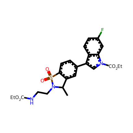 CCOC(=O)NCCN1C(C)c2cc(-c3cn(C(=O)OCC)c4cc(F)ccc34)ccc2S1(=O)=O